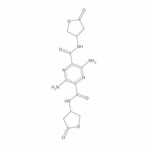 Nc1nc(C(=O)NC2COC(=O)C2)c(N)nc1C(=O)NC1COC(=O)C1